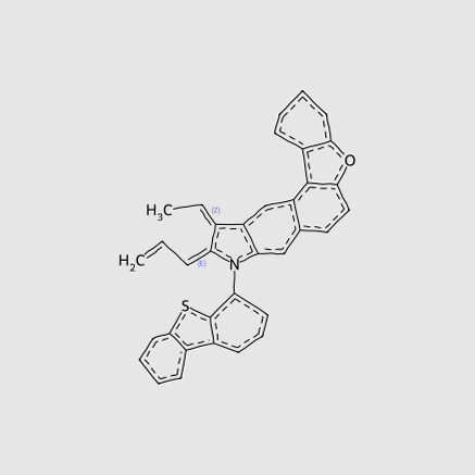 C=C/C=c1\c(=C/C)c2cc3c(ccc4oc5ccccc5c43)cc2n1-c1cccc2c1sc1ccccc12